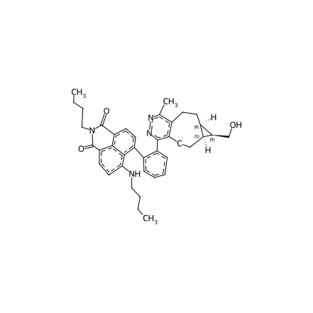 CCCCNc1ccc2c3c(ccc(-c4ccccc4-c4nnc(C)c5c4CC[C@@H]4[C@H](CO)[C@@H]4CC5)c13)C(=O)N(CCCC)C2=O